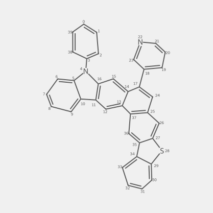 c1ccc(-n2c3ccccc3c3cc4c(cc32)c(-c2cccnc2)cc2cc3sc5ccccc5c3cc24)cc1